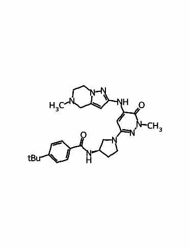 CN1CCn2nc(Nc3cc(N4CC[C@@H](NC(=O)c5ccc(C(C)(C)C)cc5)C4)nn(C)c3=O)cc2C1